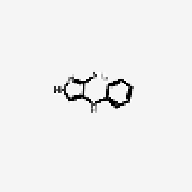 Nc1n[nH]cc1Nc1ccccc1